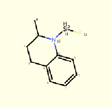 CC1CCc2ccccc2N1[SiH2]F